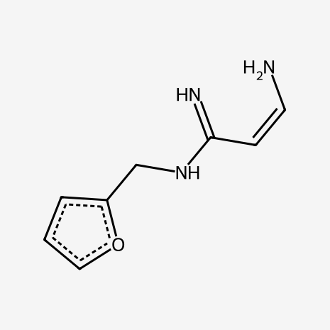 N=C(/C=C\N)NCc1ccco1